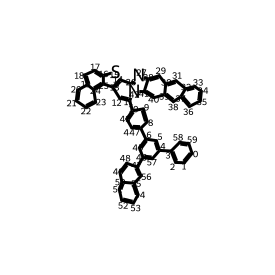 c1ccc(-c2cc(-c3ccc(-c4cc5c(sc6ccc7ccccc7c65)c5nc6cc7cc8ccccc8cc7cc6n45)cc3)cc(-c3ccc4ccccc4c3)c2)cc1